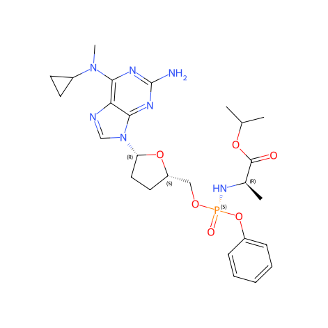 CC(C)OC(=O)[C@@H](C)N[P@](=O)(OC[C@@H]1CC[C@H](n2cnc3c(N(C)C4CC4)nc(N)nc32)O1)Oc1ccccc1